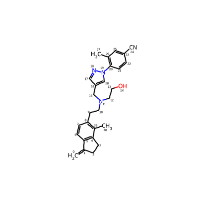 C=C1CCc2c1ccc(CCN(CCO)Cc1cnn(-c3ccc(C#N)cc3C)c1)c2C